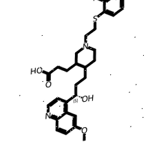 COc1ccc2nccc([C@@H](O)CCC3CCN(CCSc4ccccc4F)CC3CCC(=O)O)c2c1